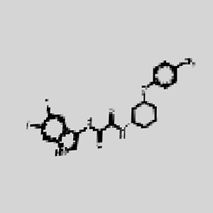 O=C(Nc1c[nH]c2cc(F)c(F)cc12)C(=O)N[C@H]1CCC[C@H](Oc2ccc(C(F)(F)F)cc2)C1